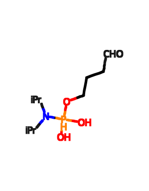 CC(C)N(C(C)C)[PH](O)(O)OCCCC=O